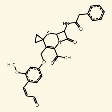 COc1cc(OCC2=C(C(=O)O)N3C(=O)C(NC(=O)Cc4ccccc4)C3SC23CC3)ccc1/C=C\C=O